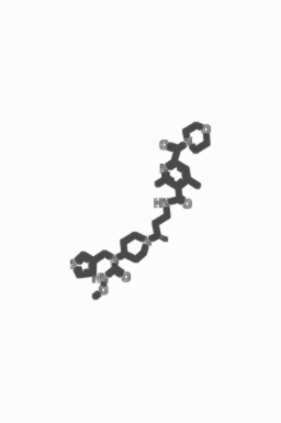 CONC(=O)N(Cc1ccsc1)C1CCN([C@H](C)CCNC(=O)c2c(C)cc(C(=O)N3CCOCC3)nc2C)CC1